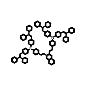 C(=C(c1ccccc1)c1ccccc1)c1ccc(N(c2ccc(C=C(c3ccccc3)c3ccccc3)cc2)c2ccc(/C=C/c3cc4ccccc4cc3/C=C/c3ccc(N(c4ccc(C=C(c5ccccc5)c5ccccc5)cc4)c4ccc(C=C(c5ccccc5)c5ccccc5)cc4)cc3)cc2)cc1